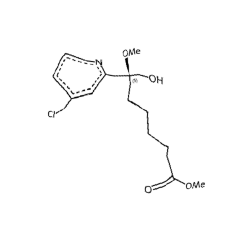 COC(=O)CCCC[C@](O)(OC)c1cc(Cl)ccn1